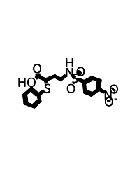 O=C(O)C(CCNS(=O)(=O)c1ccc([N+](=O)[O-])cc1)Sc1ccccc1